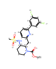 CC(C)OC(=O)N1CCC[C@@H](NS(C)(=O)=O)[C@H]1Cc1cccc(-c2cc(F)cc(F)c2)n1